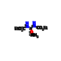 CCOC(=O)NC(=O)NC(=O)OCC.[AlH3]